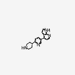 c1cc(-c2ccc(C3CCNCC3)nc2)c2cc[nH]c2n1